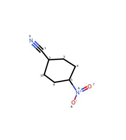 N#CC1CCC([N+](=O)[O-])CC1